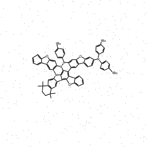 CC(C)(C)c1ccc(N2B3c4cc5oc6ccccc6c5cc4-n4c5cc6c(cc5c5c7oc8ccccc8c7c(c3c54)-c3cc4c(cc32)oc2cc(N(c3ccc(C(C)(C)C)cc3)c3ccc(C(C)(C)C)cc3)ccc24)C(C)(C)CCC6(C)C)cc1